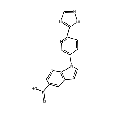 O=C(O)c1cnc2c(ccn2-c2ccc(-c3ncn[nH]3)nc2)c1